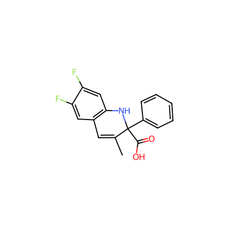 CC1=Cc2cc(F)c(F)cc2NC1(C(=O)O)c1ccccc1